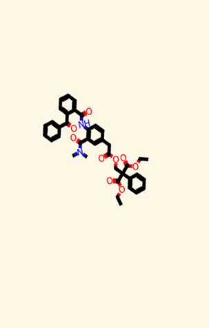 CCOC(=O)C(COC(=O)Cc1ccc(NC(=O)c2ccccc2C(=O)c2ccccc2)c(C(=O)N(C)C)c1)(C(=O)OCC)c1ccccc1